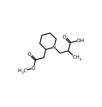 COC(=O)CC1CCCCN1CC(C)C(=O)O